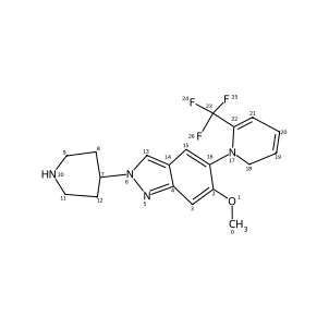 COc1cc2nn(C3CCNCC3)cc2cc1N1CC=CC=C1C(F)(F)F